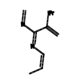 C=N/C(=N/C=C\C)C(=C)C(C)C